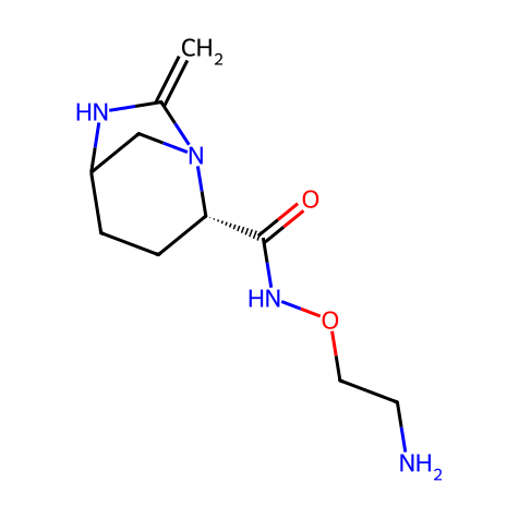 C=C1NC2CC[C@@H](C(=O)NOCCN)N1C2